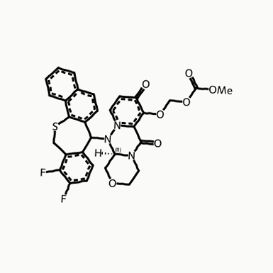 COC(=O)OCOc1c2n(ccc1=O)N(C1c3ccc(F)c(F)c3CSc3c1ccc1ccccc31)[C@@H]1COCCN1C2=O